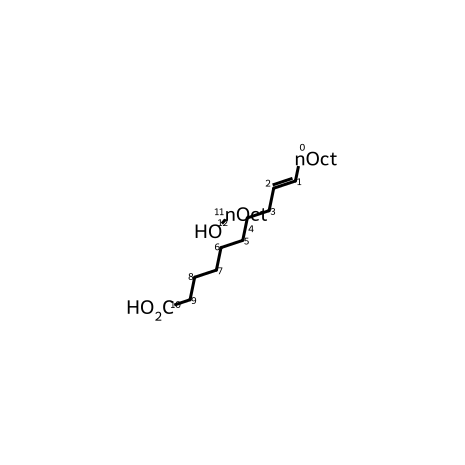 CCCCCCCCC=CCCCCCCCC(=O)O.CCCCCCCCO